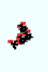 CCC(CO)(CO)CO.O=C(O)C12C=CC(CC1)C2.O=C(O)C12C=CC(CC1)C2.O=C(O)C12C=CC(CC1)C2